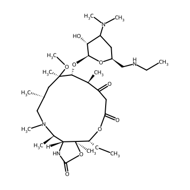 CCNC[C@@H]1CC(N(C)C)[C@@H](O)[C@H](O[C@@H]2[C@@H](C)C(=O)CC(=O)O[C@H](CC)[C@@]3(C)OC(=O)N[C@@H]3[C@@H](C)N(C)C[C@H](C)C[C@@]2(C)OC)O1